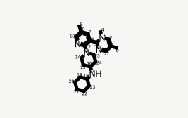 CC1=CN(C)C(c2cc(C)cnc2N2CCC(NC3CCCCC3)CC2)N=C1